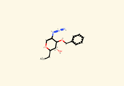 CC(=O)OCC1OCC(N=[N+]=[N-])C(OCc2ccccc2)[C@@H]1O